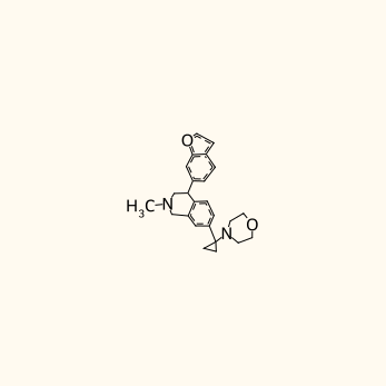 CN1Cc2cc(C3(N4CCOCC4)CC3)ccc2C(c2ccc3ccoc3c2)C1